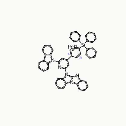 C=C(/C=C\C(=C/C)c1cc(-n2c3ccccc3c3ccccc32)nc(-n2c3ccccc3n3c4ccccc4nc23)c1)[Si](c1ccccc1)(c1ccccc1)c1ccccc1